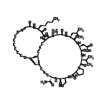 CCCCC[C@@H]1NC(=O)/C=N/OCCCCCCOc2cc3cc(c2)CSC[C@H](NC1=O)C(=O)N[C@@H](C)C(=O)N[C@@H](CC(C)C)C(=O)N[C@@H](CC(=O)O)C(=O)N[C@@H](C(C)C)C(=O)N1CCC[C@H]1C(=O)N[C@@H](CO)C(=O)N[C@H](C(N)=O)CSC3